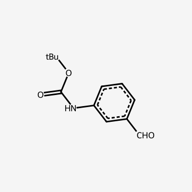 CC(C)(C)OC(=O)Nc1cccc(C=O)c1